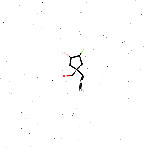 B[C@@H]1C[C@](C=C=C)(CO)CC1F